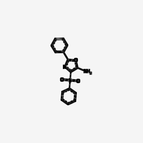 Nc1oc(-c2ccccc2)nc1S(=O)(=O)c1ccccc1